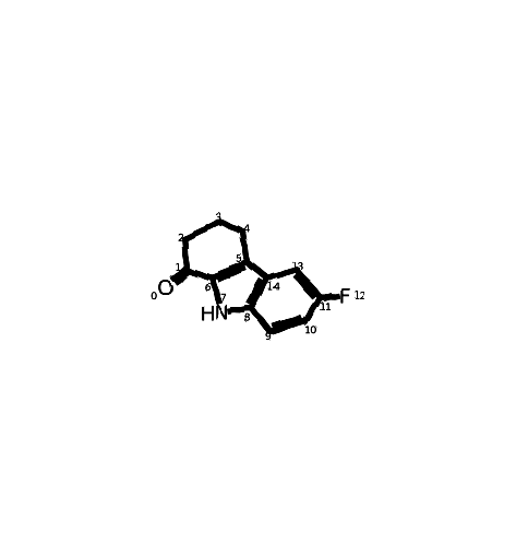 O=C1CCCc2c1[nH]c1ccc(F)cc21